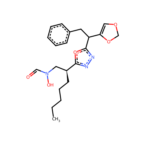 CCCCC[C@@H](CN(O)C=O)c1nnc(C(Cc2ccccc2)C2=COCO2)o1